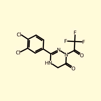 O=C1CNC(c2ccc(Cl)c(Cl)c2)=NN1C(=O)C(F)(F)F